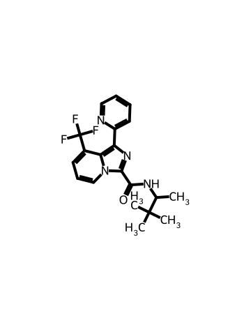 CC(NC(=O)c1nc(-c2ccccn2)c2c(C(F)(F)F)cccn12)C(C)(C)C